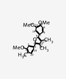 COc1cc(-c2oc(-c3ccc(OC)c(OC)c3)c(C)c2C)ccc1C